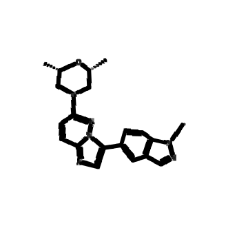 C[C@@H]1CN(c2ccc3ncc(-c4ccc5c(cnn5C)c4)n3n2)C[C@H](C)O1